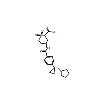 NC(=O)C1[CH]C(NC(=O)c2ccc(C3(CN4CCCC4)CC3)cc2)CCS1(=O)=O